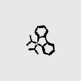 CC(C)S1(C(C)C)c2ccccc2-c2ccccc21